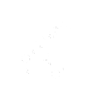 CC[C@@H]1C[C@]1(NC(=O)[C@@H]1C[C@@H](OC(=O)N2Cc3cccc(F)c3C2)CN1C(=O)[C@@H](Nc1cccc(C#N)c1)C(C)C)C(=O)NS(=O)(=O)C1CC1